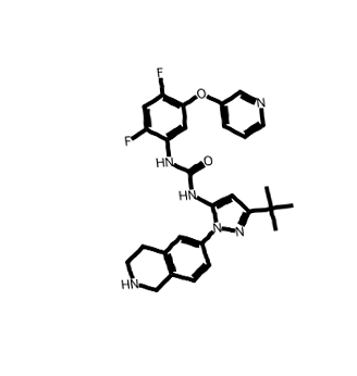 CC(C)(C)c1cc(NC(=O)Nc2cc(Oc3cccnc3)c(F)cc2F)n(-c2ccc3c(c2)CCNC3)n1